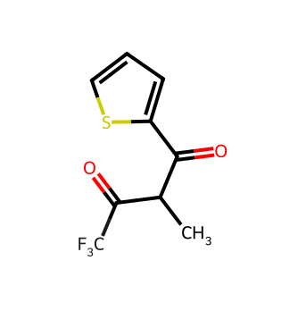 CC(C(=O)c1cccs1)C(=O)C(F)(F)F